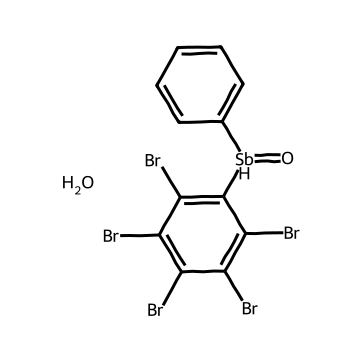 O.[O]=[SbH]([c]1ccccc1)[c]1c(Br)c(Br)c(Br)c(Br)c1Br